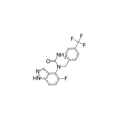 NC(=O)N(Cc1ccc(C(F)(F)F)cc1)c1c(F)ccc2[nH]ncc12